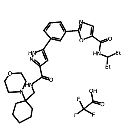 CCC(CC)NC(=O)c1cnc(-c2cccc(-c3cc(C(=O)NCC4(N5CCOCC5)CCCCC4)n[nH]3)c2)o1.O=C(O)C(F)(F)F